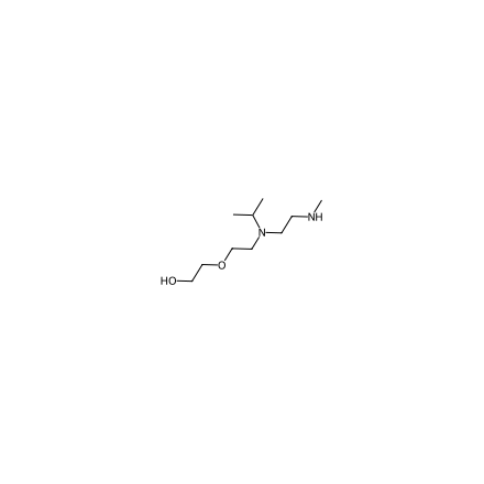 CNCCN(CCOCCO)C(C)C